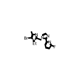 CCn1c(Cn2ccnc2-c2cccc(F)n2)nc(C)c1Br